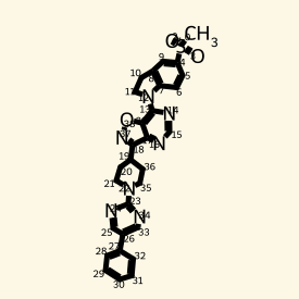 CS(=O)(=O)c1ccc2c(c1)CCN2c1ncnc2c(C3CCN(c4ncc(-c5ccccc5)cn4)CC3)noc12